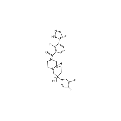 O=C(c1cccc(-c2[nH]ncc2F)c1F)N1CCN2C[C@@](O)(c3ccc(F)c(F)c3)CC[C@@H]2C1